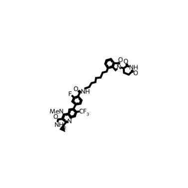 CNc1c(C(N)=O)c(C2CC2)nc2cc(C(F)(F)F)c(-c3ccc(C(=O)NCCCCCCCCc4cccc5c4CN(C4CCC(=O)NC4=O)C5=O)c(F)c3)cc12